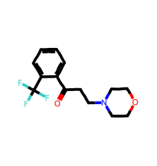 O=C(CCN1CCOCC1)c1ccccc1C(F)(F)F